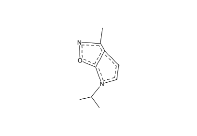 Cc1noc2c1ccn2C(C)C